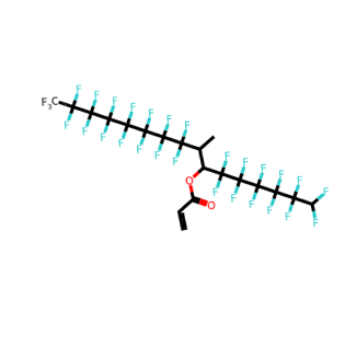 C=CC(=O)OC(C(C)C(F)(F)C(F)(F)C(F)(F)C(F)(F)C(F)(F)C(F)(F)C(F)(F)C(F)(F)F)C(F)(F)C(F)(F)C(F)(F)C(F)(F)C(F)(F)C(F)F